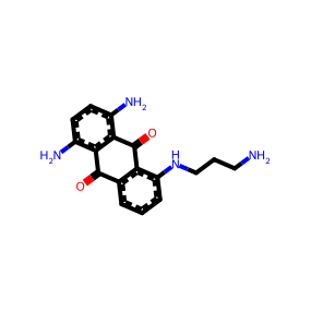 NCCCNc1cccc2c1C(=O)c1c(N)ccc(N)c1C2=O